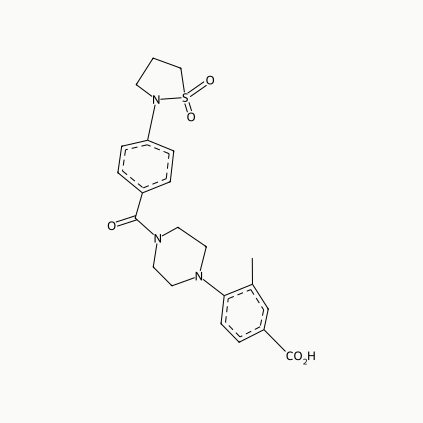 Cc1cc(C(=O)O)ccc1N1CCN(C(=O)c2ccc(N3CCCS3(=O)=O)cc2)CC1